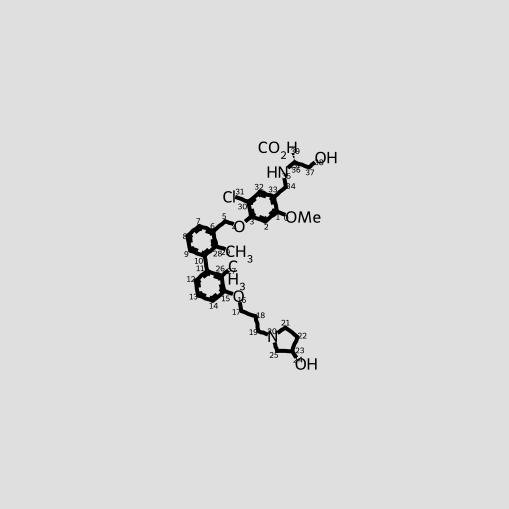 COc1cc(OCc2cccc(-c3cccc(OCCCN4CCC(O)C4)c3C)c2C)c(Cl)cc1CN[C@@H](CO)C(=O)O